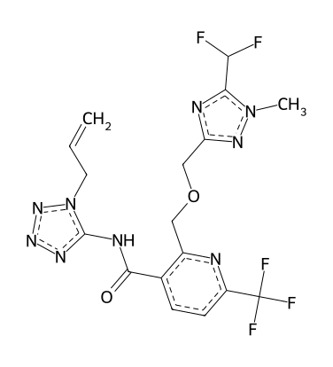 C=CCn1nnnc1NC(=O)c1ccc(C(F)(F)F)nc1COCc1nc(C(F)F)n(C)n1